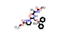 CC(C)C(NC(=O)OC(C)(C)C)C(=O)N[C@@H](CO[Si](c1ccccc1)(c1ccccc1)C(C)(C)C)C(=O)N1CCC[C@@H](C(=O)OCC(Cl)(Cl)Cl)N1